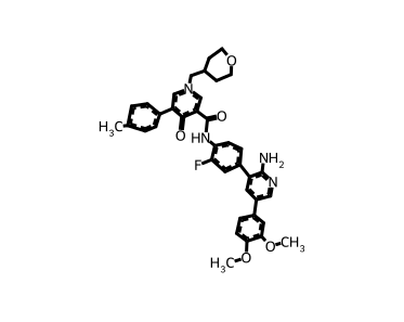 COc1ccc(-c2cnc(N)c(-c3ccc(NC(=O)c4cn(CC5CCOCC5)cc(-c5ccc(C)cc5)c4=O)c(F)c3)c2)cc1OC